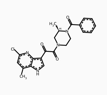 Cc1cc(Cl)nc2c(C(=O)C(=O)N3CCN(C(=O)c4ccccc4)[C@H](C)C3)c[nH]c12